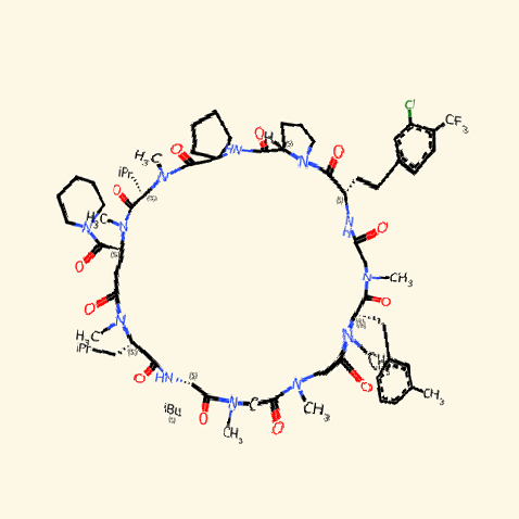 CC[C@H](C)[C@@H]1NC(=O)[C@H](CC(C)C)N(C)C(=O)C[C@@H](C(=O)N2CCCCC2)N(C)C(=O)[C@H](C(C)C)N(C)C(=O)C2(CCCC2)NC(=O)[C@@H]2CCCN2C(=O)[C@H](CCc2ccc(C(F)(F)F)c(Cl)c2)NC(=O)CN(C)C(=O)[C@H](Cc2cccc(C)c2)N(C)C(=O)CN(C)C(=O)CN(C)C1=O